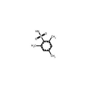 Cc1cc(C)c(S([NH])(=O)=O)c(C)c1